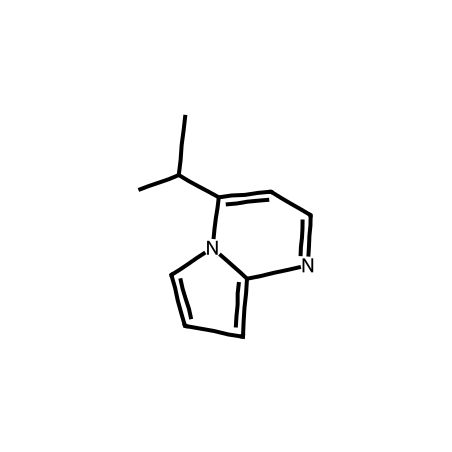 CC(C)c1ccnc2cccn12